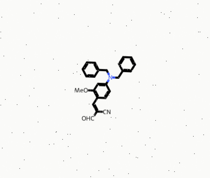 COc1cc(N(Cc2ccccc2)Cc2ccccc2)ccc1/C=C(\C#N)C=O